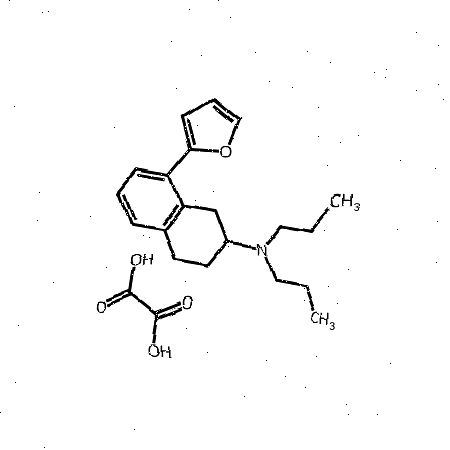 CCCN(CCC)C1CCc2cccc(-c3ccco3)c2C1.O=C(O)C(=O)O